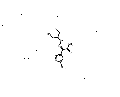 NC(=O)/C(=N\OC(CO)CO)c1csc(N)n1